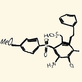 COc1ccc(S(=O)(=O)c2c(N)c(Cl)c(C)c(Cc3ccccc3)c2C(=O)O)cc1